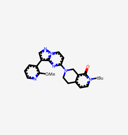 COc1ncccc1-c1cnn2ccc(N3CCc4ccn(C(C)(C)C)c(=O)c4C3)nc12